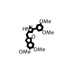 COc1cc(OC)cc(-c2cc(C=C3Cc4cc(OC)c(OC)cc4C3=O)[nH]n2)c1